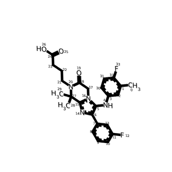 Cc1cc(Nc2c(-c3cccc(F)c3)nc3n2CC(=O)N(CCCC(=O)O)C3(C)C)ccc1F